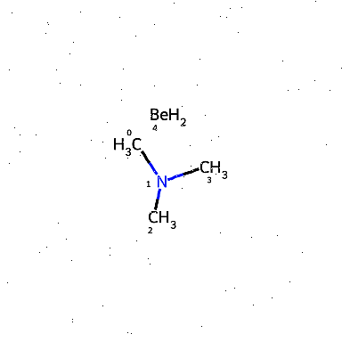 CN(C)C.[BeH2]